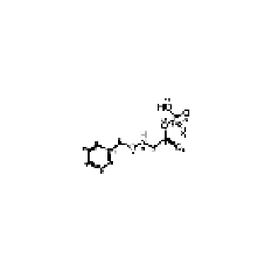 O=C(CNOCc1ccccc1)OP(=O)(O)Cl